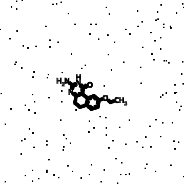 CCOc1ccc2c(c1)-c1c(nc(N)[nH]c1=O)CC2